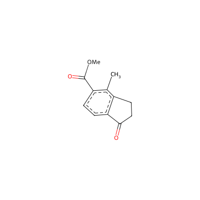 COC(=O)c1ccc2c(c1C)CCC2=O